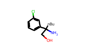 CCCCC(N)(CO)c1cccc(Cl)c1